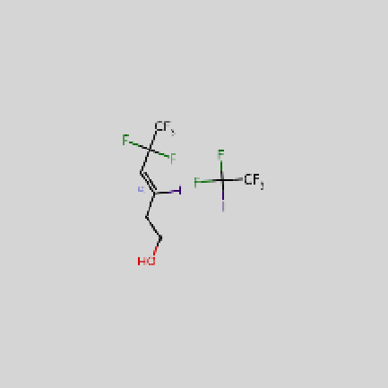 FC(F)(F)C(F)(F)I.OCC/C(I)=C/C(F)(F)C(F)(F)F